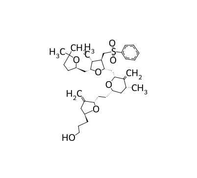 C=C1C[C@H](CCCO)O[C@H]1CC[C@H]1C[C@@H](C)C(=C)[C@@H](C[C@@H]2O[C@H](C[C@H]3CCC(C)(C)O3)[C@H](C)[C@H]2CS(=O)(=O)c2ccccc2)O1